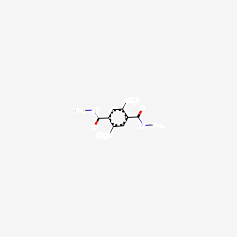 CCCCCCCCNC(=O)c1cc(C(=O)O)c(C(=O)NCCCCCCCC)cc1C(=O)O